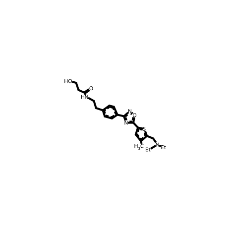 CCN(CC)Cc1sc(-c2nc(-c3ccc(CCNC(=O)CCO)cc3)no2)cc1C